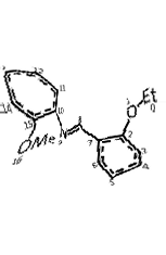 CCOc1ccccc1/C=N/c1ccccc1OC